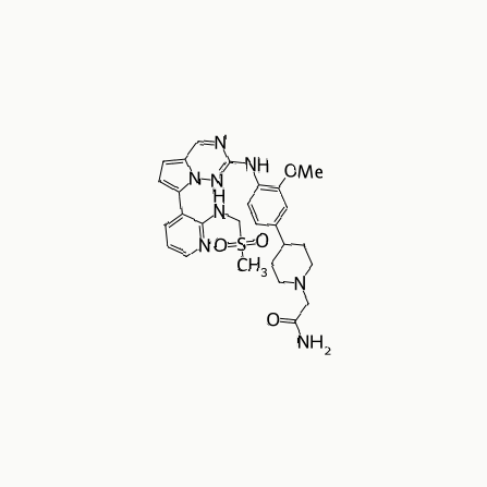 COc1cc(C2CCN(CC(N)=O)CC2)ccc1Nc1ncc2ccc(-c3cccnc3NCS(C)(=O)=O)n2n1